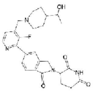 CC(O)C1CCN(Cc2ccnc(-c3ccc4c(c3)CN(C3CCC(=O)NC3=O)C4=O)c2F)CC1